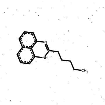 CCCCCC1=Nc2[c]ccc3cccc(c23)N1